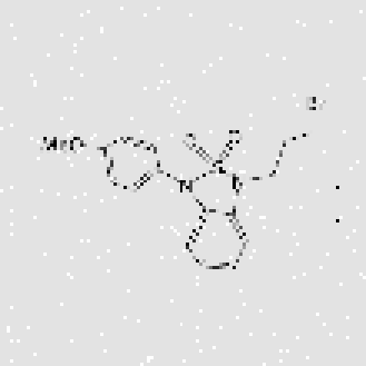 COc1ccc(N2c3ccccc3N(CCCBr)S2(=O)=O)cc1